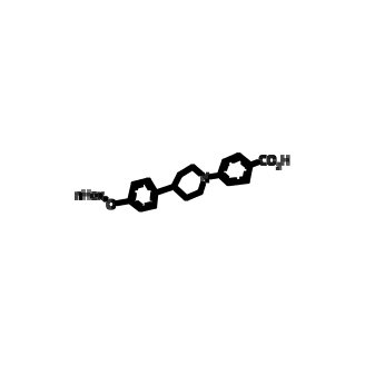 CCCCCCOc1ccc(C2CCN(c3ccc(C(=O)O)cc3)CC2)cc1